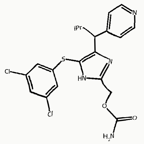 CC(C)C(c1ccncc1)c1nc(COC(N)=O)[nH]c1Sc1cc(Cl)cc(Cl)c1